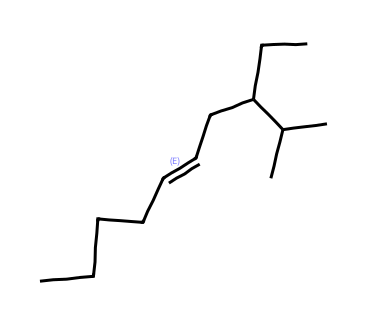 CCCC/C=C/CC(CC)C(C)C